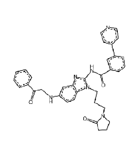 O=C(CNc1ccc2c(c1)nc(NC(=O)c1cccc(-c3ccncc3)c1)n2CCCN1CCCC1=O)c1ccccc1